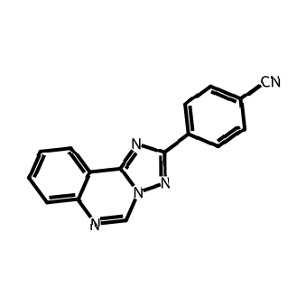 N#Cc1ccc(-c2nc3c4ccccc4ncn3n2)cc1